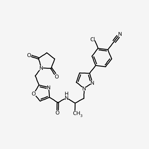 CC(Cn1ccc(-c2ccc(C#N)c(Cl)c2)n1)NC(=O)c1coc(CN2C(=O)CCC2=O)n1